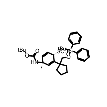 CC(C)(C)OC(=O)N[C@@]1(C)C=C[C@H](S(=O)(=O)O)C(C2(CO[Si](c3ccccc3)(c3ccccc3)C(C)(C)C)CCCC2)=C1